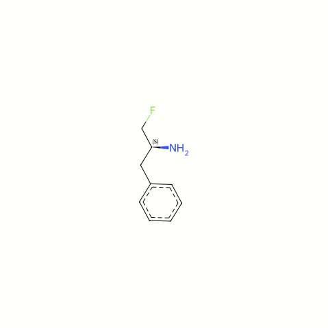 N[C@H](CF)Cc1ccccc1